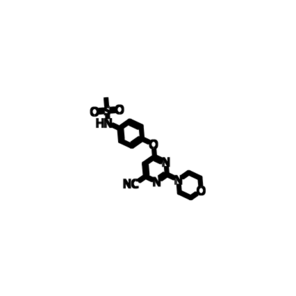 CS(=O)(=O)Nc1ccc(Oc2cc(C#N)nc(N3CCOCC3)n2)cc1